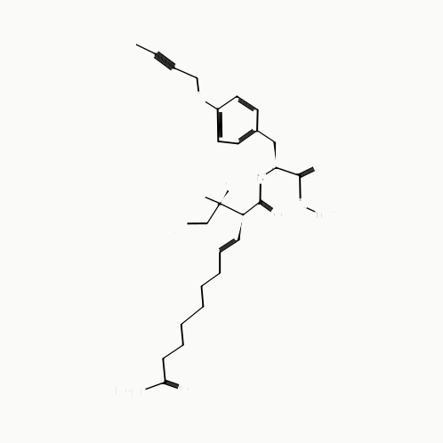 CC#CCOc1ccc(C[C@H](NC(=O)[C@@H](C=CCCCCCCC(=O)CCCCCCC)[C@@](O)(CC(=O)O)C(=O)O)C(=O)OCCC)cc1